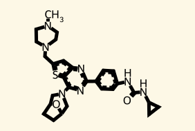 CN1CCN(Cc2cc3nc(-c4ccc(NC(=O)NC5CC5)cc4)nc(N4CC5CCC(C4)O5)c3s2)CC1